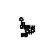 O=C(OCc1ccccc1)N1CCN2C[C@@H]3CCC[C@@H]3c3cc(O)cc(c32)C1